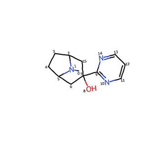 CN1C2CCC1CC(O)(c1ncccn1)C2